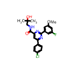 COc1cc(F)cc(-c2nc(C(=O)NCC(C)(C)O)cc(-c3ccc(Cl)cc3)n2)c1